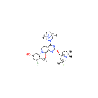 [2H]C1([2H])CC[C@@]2(COc3nc(N4C[C@H]5CC[C@@H](C4)N5)c4ccn(-c5cc(O)cc(Cl)c5C(F)(F)F)c(=O)c4n3)C[C@@]([2H])(F)CN12